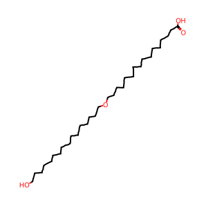 O=C(O)CCCCCCCCCCCCCCCOCCCCCCCCCCCCCCCCO